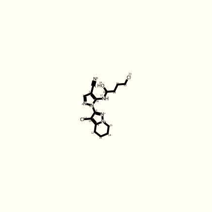 N#Cc1cnn(-c2nn3c(c2Cl)CCCC3)c1NC(O)CCCCl